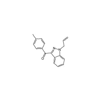 C=CCn1nc(C(=O)c2ccc(C)cc2)c2ccccc21